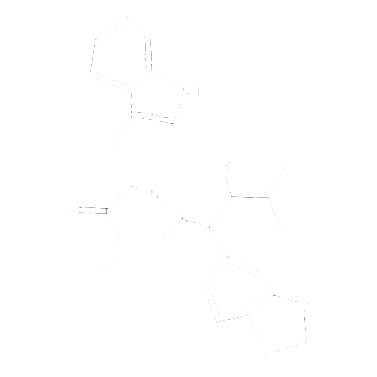 COC(=O)[C@H](Cc1c[nH]c2ccccc12)NC(=O)C(c1ccc2c(c1)OCO2)C(O)C(C)C